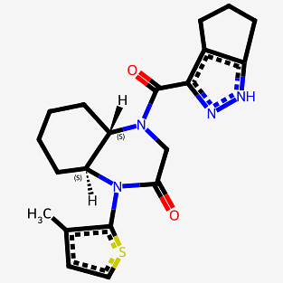 Cc1ccsc1N1C(=O)CN(C(=O)c2n[nH]c3c2CCC3)[C@H]2CCCC[C@@H]21